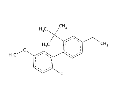 CCc1ccc(-c2cc(OC)ccc2F)c(C(C)(C)C)c1